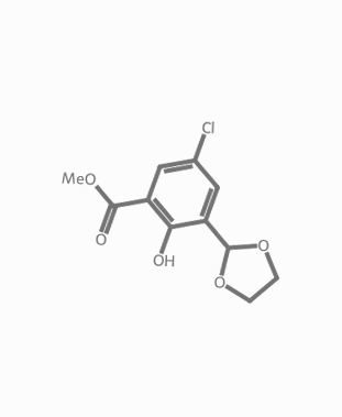 COC(=O)c1cc(Cl)cc(C2OCCO2)c1O